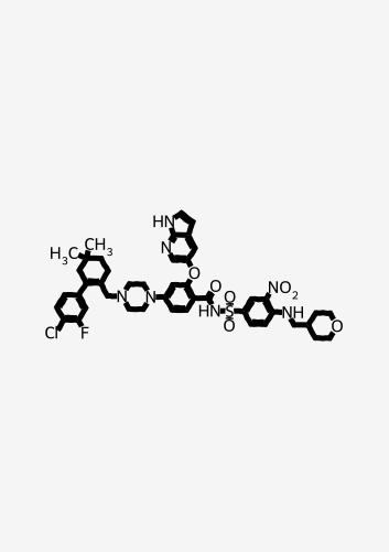 CC1(C)CCC(CN2CCN(c3ccc(C(=O)NS(=O)(=O)c4ccc(NCC5CCOCC5)c([N+](=O)[O-])c4)c(Oc4cnc5[nH]ccc5c4)c3)CC2)=C(c2ccc(Cl)c(F)c2)C1